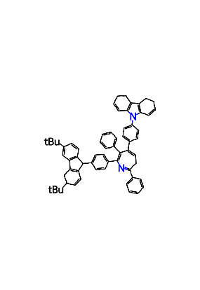 CC(C)(C)c1ccc2c(c1)C1=C(C=CC(C(C)(C)C)C1)C2c1ccc(C2=C(c3ccccc3)C(c3ccc(-n4c5c(c6c4C=CCC6)CCC=C5)cc3)=CCC(c3ccccc3)=N2)cc1